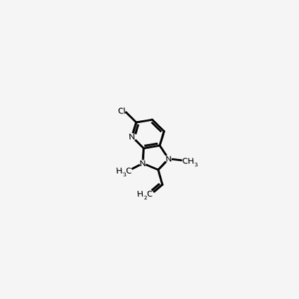 C=CC1N(C)c2ccc(Cl)nc2N1C